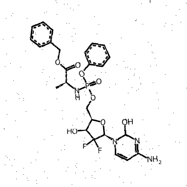 C[C@H](NP(=O)(OC[C@H]1O[C@@H](N2C=CC(N)=NC2O)C(F)(F)C1O)Oc1ccccc1)C(=O)OCc1ccccc1